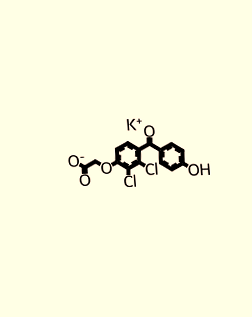 O=C([O-])COc1ccc(C(=O)c2ccc(O)cc2)c(Cl)c1Cl.[K+]